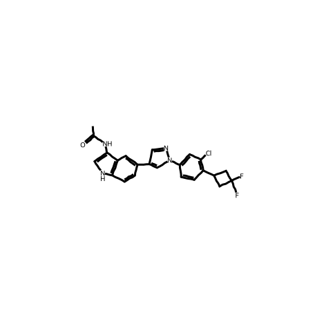 CC(=O)Nc1c[nH]c2ccc(-c3cnn(-c4ccc(C5CC(F)(F)C5)c(Cl)c4)c3)cc12